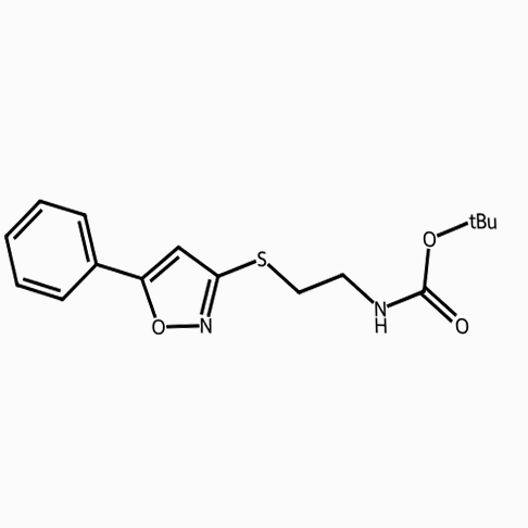 CC(C)(C)OC(=O)NCCSc1cc(-c2ccccc2)on1